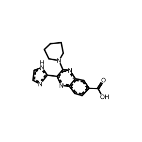 O=C(O)c1ccc2nc(-c3ncc[nH]3)c(N3CCCCC3)nc2c1